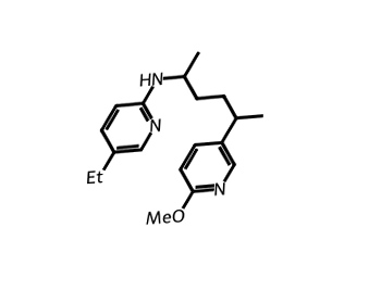 CCc1ccc(NC(C)CCC(C)c2ccc(OC)nc2)nc1